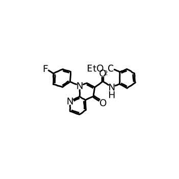 CCOC(=O)c1ccccc1NC(=O)c1cn(-c2ccc(F)cc2)c2ncccc2c1=O